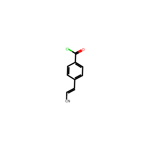 N#CC=Cc1ccc(C(=O)Cl)cc1